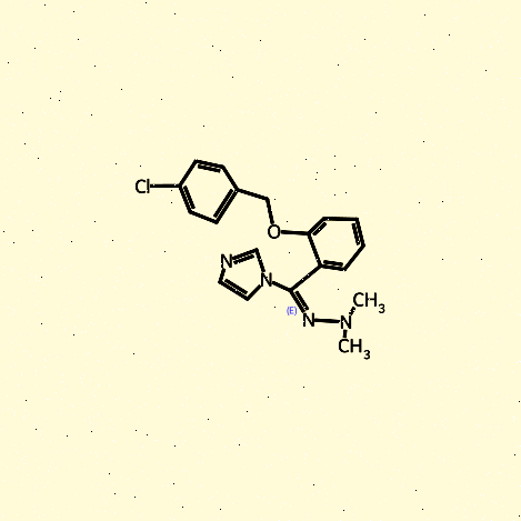 CN(C)/N=C(\c1ccccc1OCc1ccc(Cl)cc1)n1ccnc1